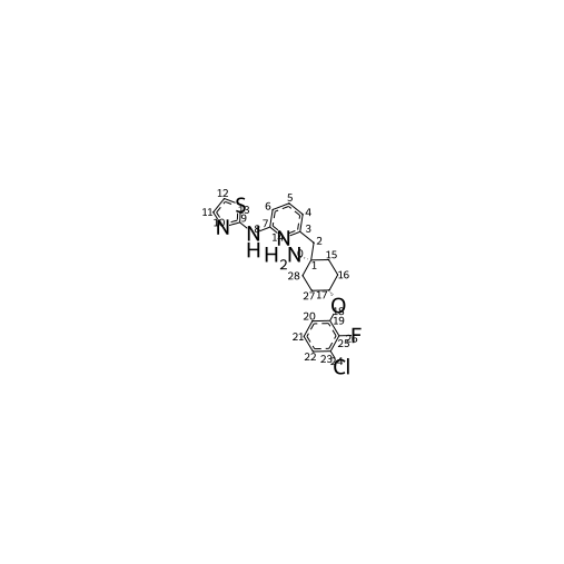 N[C@]1(Cc2cccc(Nc3nccs3)n2)CC[C@H](Oc2cccc(Cl)c2F)CC1